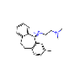 Cc1ccc2c(c1)/C(=N\CCN(C)C)c1ccccc1CC2